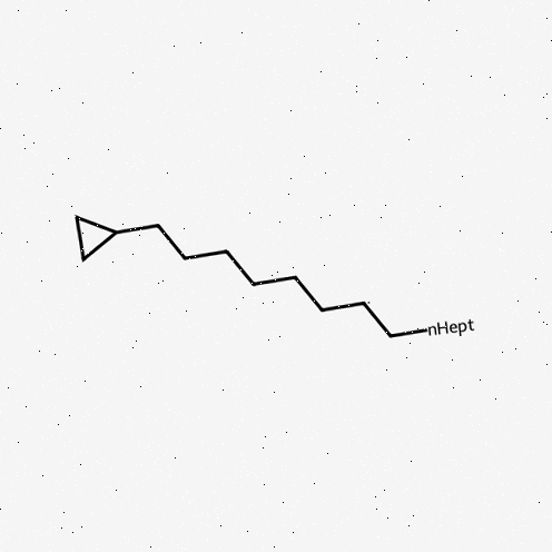 CCCCCCCC[CH]CCCCCCC1CC1